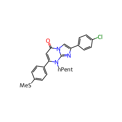 CCCCCn1c(-c2ccc(SC)cc2)cc(=O)n2cc(-c3ccc(Cl)cc3)nc12